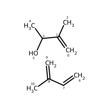 C=C(C)C(C)O.C=CC(=C)C